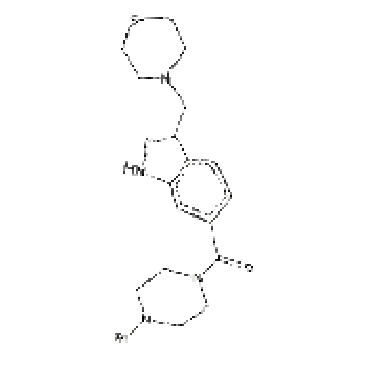 CC(C)N1CCN(C(=O)c2ccc3c(c2)NCC3CN2CCSCC2)CC1